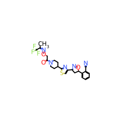 CC(=NOCC(=O)N1CCC(c2nc(C3=NOC(c4ccccc4C#N)C3)cs2)CC1)C(F)(F)F